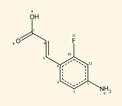 Nc1ccc(/C=C/C(=O)O)c(F)c1